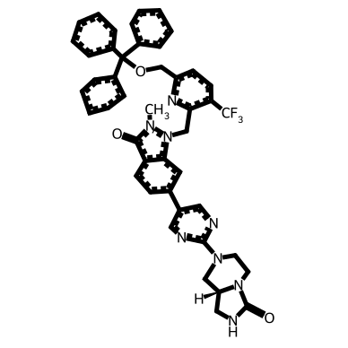 Cn1c(=O)c2ccc(-c3cnc(N4CCN5C(=O)NC[C@@H]5C4)nc3)cc2n1Cc1nc(COC(c2ccccc2)(c2ccccc2)c2ccccc2)ccc1C(F)(F)F